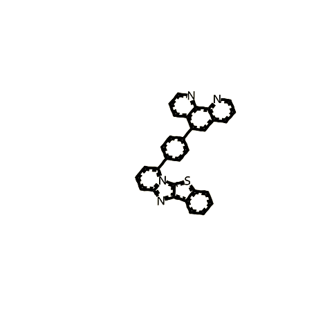 c1cnc2c(c1)cc(-c1ccc(-c3cccc4nc5c6ccccc6sc5n34)cc1)c1cccnc12